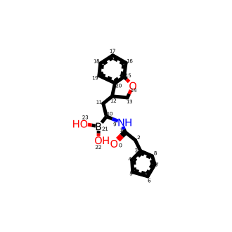 O=C(Cc1ccccc1)NC(CC1COc2ccccc21)B(O)O